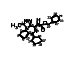 Cc1nnc2n1-c1ccccc1C(C1CCCCC1)=NC2NC(=O)OCc1ccccc1